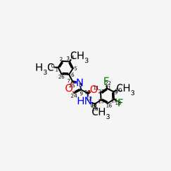 Cc1cc(C)cc(-c2nc(C(=O)N[C@H](C)c3cc(F)c(C)c(F)c3)co2)c1